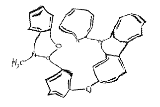 CN1B(c2cccc(Oc3ccc4c5ccccc5n(-c5ccccn5)c4c3)c2)Oc2ccccc21